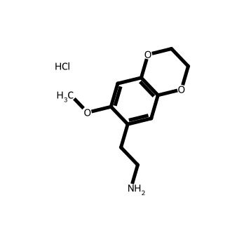 COc1cc2c(cc1CCN)OCCO2.Cl